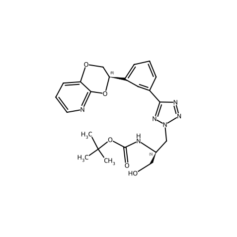 CC(C)(C)OC(=O)N[C@H](CO)Cn1nnc(-c2cccc([C@@H]3COc4cccnc4O3)c2)n1